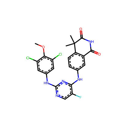 COc1c(Cl)cc(Nc2ncc(F)c(Nc3ccc4c(c3)C(=O)NC(=O)C4(C)C)n2)cc1Cl